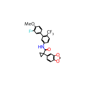 COc1ccc(-c2cc(NC(=O)C3(c4ccc5c(c4)OCO5)CC3)ccc2C(F)(F)F)cc1F